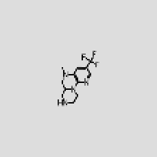 CN1CC2CNCCN2c2ncc(C(F)(F)F)cc21